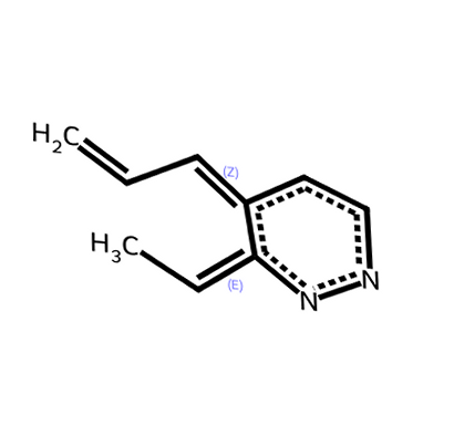 C=C/C=c1/ccnn/c1=C/C